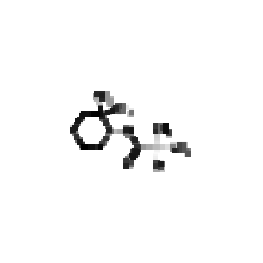 CCC(C)(C)C(=O)OC1CCCCC1(C)C